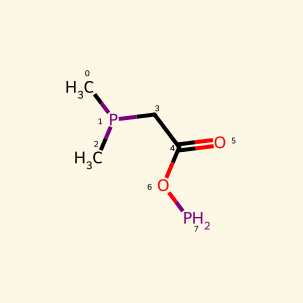 CP(C)CC(=O)OP